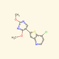 COc1ncc(-c2cc3nccc(Cl)c3s2)c(OC)n1